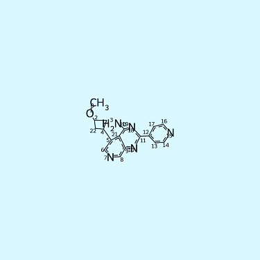 COC1CC(c2cncc3nc(-c4ccncc4)nc(N)c23)C1